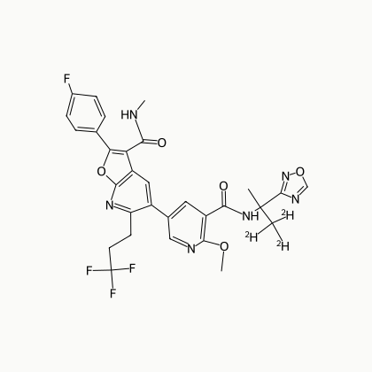 [2H]C([2H])([2H])C(C)(NC(=O)c1cc(-c2cc3c(C(=O)NC)c(-c4ccc(F)cc4)oc3nc2CCC(F)(F)F)cnc1OC)c1ncon1